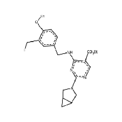 CCOC(=O)c1cnc(N2CC3CC3C2)nc1NCc1ccc(OCC)c(CI)c1